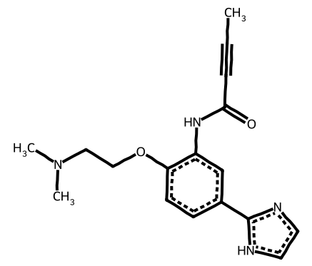 CC#CC(=O)Nc1cc(-c2ncc[nH]2)ccc1OCCN(C)C